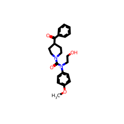 COc1ccc(N(CCO)C(=O)N2CCC(C(=O)c3ccccc3)CC2)cc1